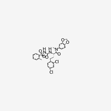 Cc1ccccc1S(=O)(=O)NC(=O)N[C@@H](CCc1ccc(Cl)cc1Cl)C(=O)N(C)c1ccc2c(c1)OCO2